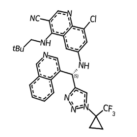 CC(C)(C)CNc1c(C#N)cnc2c(Cl)cc(N[C@H](c3cn(C4(C(F)(F)F)CC4)nn3)c3cncc4ccccc34)cc12